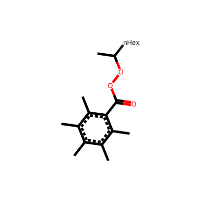 CCCCCC[C](C)OOC(=O)c1c(C)c(C)c(C)c(C)c1C